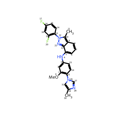 COc1cc(Nc2cccc3c(C)n(-c4ccc(F)cc4F)nc23)ccc1-n1cnc(C)c1